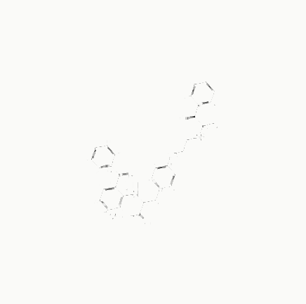 COC(=O)C(Cc1ccc(OCCNC(C)C(=O)c2ccccc2)cc1)Nc1ccccc1C(=O)c1ccccc1